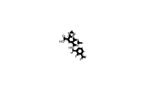 Cc1nc(N[C@H](C)c2cccc(C(F)F)c2F)c2cc(C(=O)O)c3ncnn3c2n1